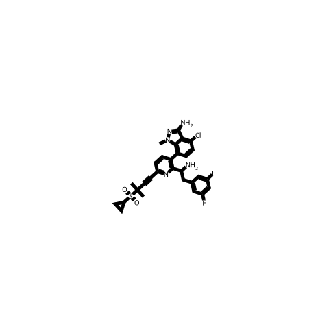 Cn1nc(N)c2c(Cl)ccc(-c3ccc(C#CC(C)(C)S(=O)(=O)C4CC4)nc3C(N)Cc3cc(F)cc(F)c3)c21